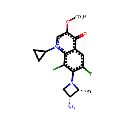 CC[C@@H]1[C@H](N)CN1c1c(F)cc2c(=O)c(OC(=O)O)cn(C3CC3)c2c1F